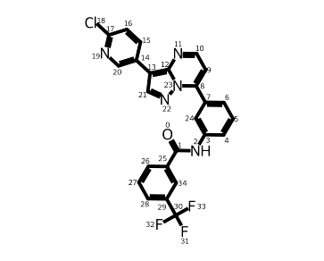 O=C(Nc1cccc(-c2ccnc3c(-c4ccc(Cl)nc4)cnn23)c1)c1cccc(C(F)(F)F)c1